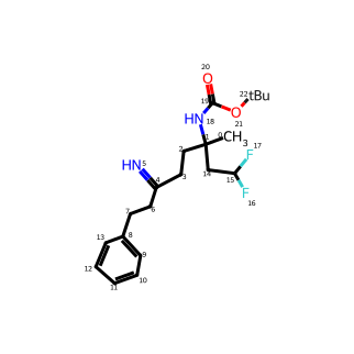 CC(CCC(=N)CCc1ccccc1)(CC(F)F)NC(=O)OC(C)(C)C